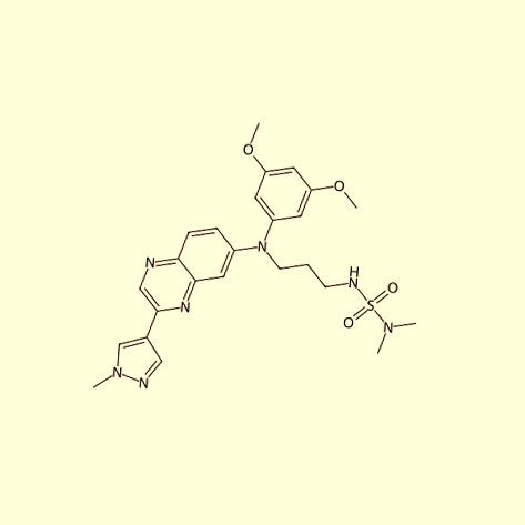 COc1cc(OC)cc(N(CCCNS(=O)(=O)N(C)C)c2ccc3ncc(-c4cnn(C)c4)nc3c2)c1